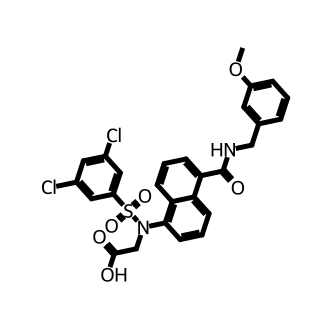 COc1cccc(CNC(=O)c2cccc3c(N(CC(=O)O)S(=O)(=O)c4cc(Cl)cc(Cl)c4)cccc23)c1